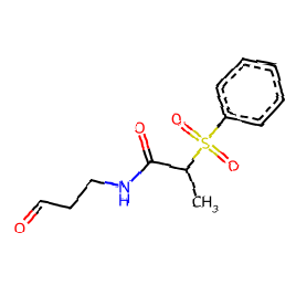 CC(C(=O)NCCC=O)S(=O)(=O)c1ccccc1